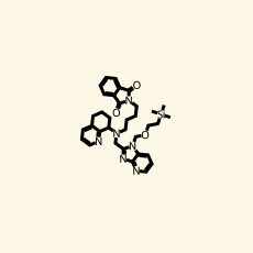 C[Si](C)(C)CCOCn1c(CN(CCCCN2C(=O)c3ccccc3C2=O)C2CCCc3cccnc32)nc2ncccc21